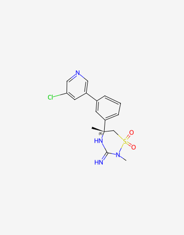 CN1C(=N)N[C@](C)(c2cccc(-c3cncc(Cl)c3)c2)CS1(=O)=O